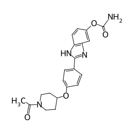 CC(=O)N1CCC(Oc2ccc(-c3nc4cc(OC(N)=O)ccc4[nH]3)cc2)CC1